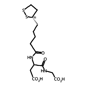 O=C(O)CNC(=O)C(CC(=O)O)NC(=O)CCCC[C@H]1CCSS1